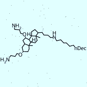 CCCCCCCCCCCCCCCCNCCC[C@@H](C)C1CC[C@H]2C3[C@H](OCCCN)CC4C[C@H](OCCCN)CCC4(C)[C@H]3CCC12C